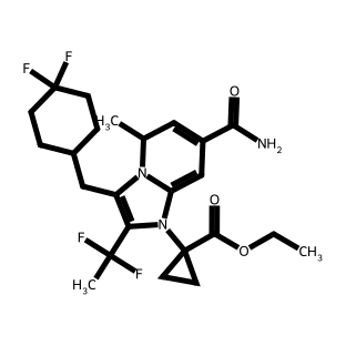 CCOC(=O)C1(N2C3=CC(C(N)=O)=CC(C)N3C(CC3CCC(F)(F)CC3)=C2C(C)(F)F)CC1